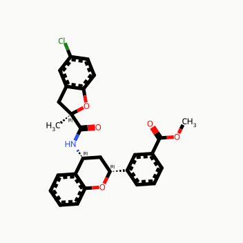 COC(=O)c1cccc([C@H]2C[C@@H](NC(=O)[C@@]3(C)Cc4cc(Cl)ccc4O3)c3ccccc3O2)c1